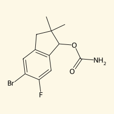 CC1(C)Cc2cc(Br)c(F)cc2C1OC(N)=O